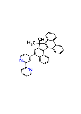 CC1(C)c2cc(-c3ccnc(-c4ccccn4)c3)c3ccccc3c2-c2c1c1ccccc1c1ccccc21